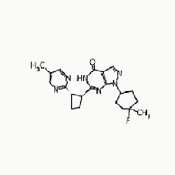 Cc1cnc([C@H]2CC[C@@H]2c2nc3c(cnn3C3CCC(C)(F)CC3)c(=O)[nH]2)nc1